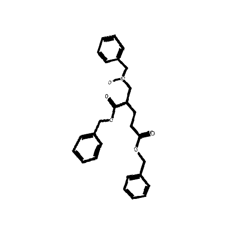 O=C(CCC(C[S+]([O-])Cc1ccccc1)C(=O)OCc1ccccc1)OCc1ccccc1